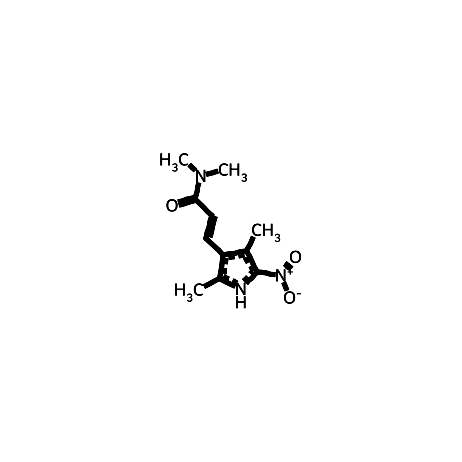 Cc1[nH]c([N+](=O)[O-])c(C)c1C=CC(=O)N(C)C